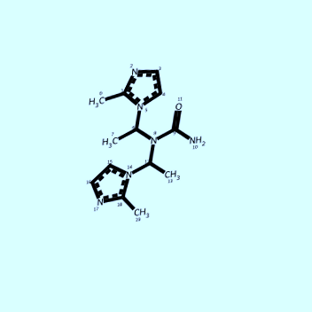 Cc1nccn1C(C)N(C(N)=O)C(C)n1ccnc1C